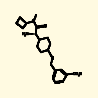 CN(C(=O)[C@@H](N)C1CCC(OCc2cccc(C(=O)O)c2)CC1)C1CCC1